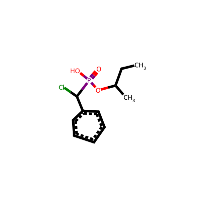 CCC(C)OP(=O)(O)C(Cl)c1ccccc1